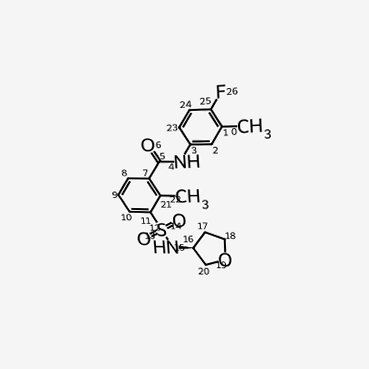 Cc1cc(NC(=O)c2cccc(S(=O)(=O)N[C@H]3CCOC3)c2C)ccc1F